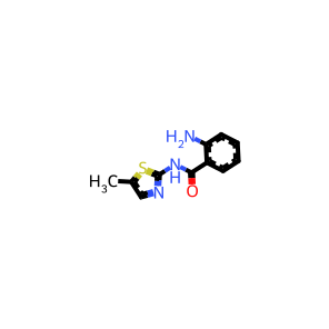 Cc1cnc(NC(=O)c2ccccc2N)s1